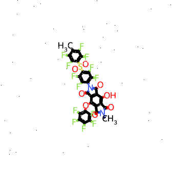 Cc1c(F)c(F)c(S(=O)(=O)c2c(F)c(F)c(-n3c(=O)c4c(O)c5c(=O)n(C)c(=O)c5c(Oc5c(F)c(F)c(F)c(F)c5F)c4c3=O)c(F)c2F)c(F)c1F